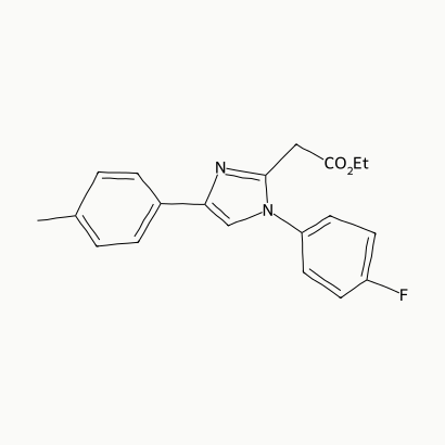 CCOC(=O)Cc1nc(-c2ccc(C)cc2)cn1-c1ccc(F)cc1